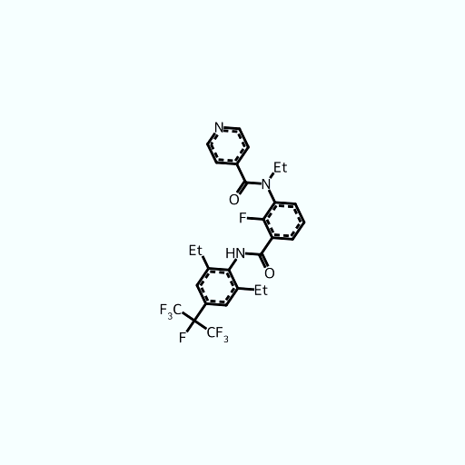 CCc1cc(C(F)(C(F)(F)F)C(F)(F)F)cc(CC)c1NC(=O)c1cccc(N(CC)C(=O)c2ccncc2)c1F